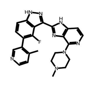 Cc1ccncc1-c1ccc2[nH]nc(-c3nc4c(N5CCN(C)CC5)nccc4[nH]3)c2c1F